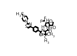 CCC(C)(C)C(NC(=O)c1ccc(-c2csc(N3CCN(C)CC3)n2)cc1)C(=O)N1C[C@H](C(F)F)[C@H]2OCC(=O)[C@H]21